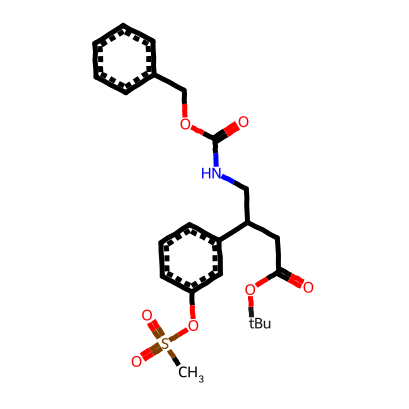 CC(C)(C)OC(=O)CC(CNC(=O)OCc1ccccc1)c1cccc(OS(C)(=O)=O)c1